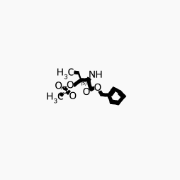 CC[C@H](COS(C)(=O)=O)C(=N)C(=O)OCc1ccccc1